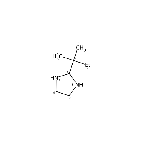 CCC(C)(C)C1NCCN1